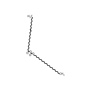 CCCCCCCCC=CCCCCCCCCCCCC(=O)OC(=O)OCCCCCCCCCCCCCCCCCCCC